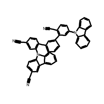 N#Cc1ccc(-c2cccc(-c3cc(-n4c5ccccc5c5ccccc54)ccc3C#N)c2)c(-n2c3ccccc3c3cc(C#N)ccc32)c1